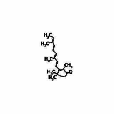 C/C=C(C)/C=C/C=C(C)/C=C/C1=C(C)C(=O)CCC1(C)C